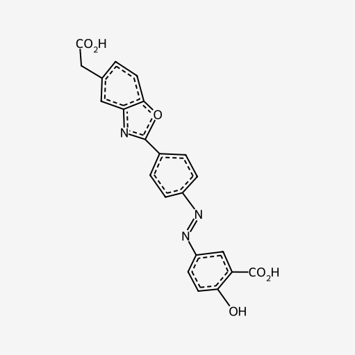 O=C(O)Cc1ccc2oc(-c3ccc(N=Nc4ccc(O)c(C(=O)O)c4)cc3)nc2c1